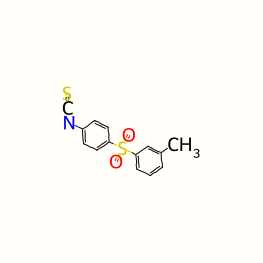 Cc1cccc(S(=O)(=O)c2ccc(N=C=S)cc2)c1